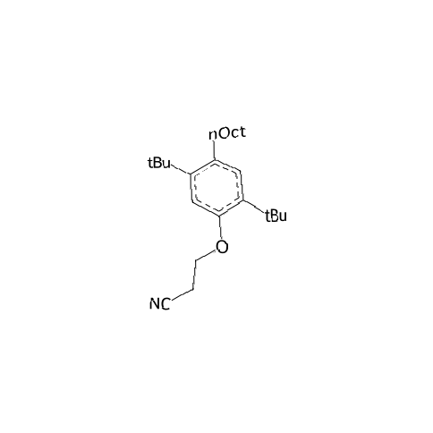 CCCCCCCCc1cc(C(C)(C)C)c(OCCC#N)cc1C(C)(C)C